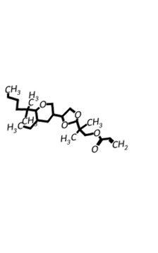 C=CC(=O)OCC(C)(C)C1OCC(C2COC(C(C)(C)CCCC)C(CC)C2)O1